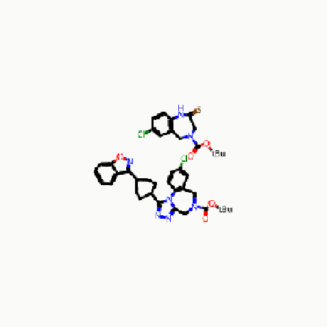 CC(C)(C)OC(=O)N1CC(=S)Nc2ccc(Cl)cc2C1.CC(C)(C)OC(=O)N1Cc2cc(Cl)ccc2-n2c(nnc2C2CCC(c3noc4ccccc34)CC2)C1